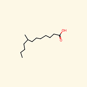 CCCCC(C)CCCCCCC(=O)O